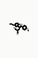 CCCc1ccc2[nH]c(-c3ccc(OC)cc3)c(C=C(C#N)C#N)c2c1